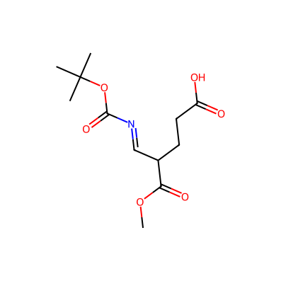 COC(=O)C(C=NC(=O)OC(C)(C)C)CCC(=O)O